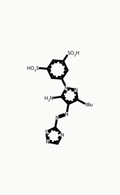 CC(C)(C)c1nn(-c2cc(S(=O)(=O)O)cc(S(=O)(=O)O)c2)c(N)c1N=Nc1ncns1